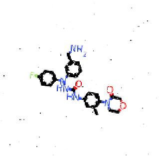 Cc1cc(NC(=O)NN(c2ccc(F)cc2)c2cccc(CN)c2)ccc1N1CCOCC1=O